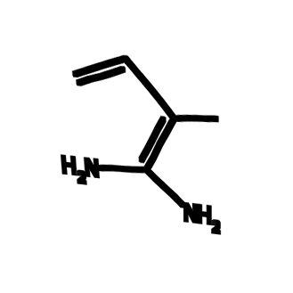 C=CC(C)=C(N)N